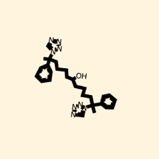 CC(CCCCC(O)CCCCC(C)(c1ccccc1)n1cnnn1)(c1ccccc1)n1cnnn1